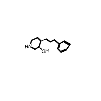 O[C@H]1CNCC[C@H]1CCCc1ccccc1